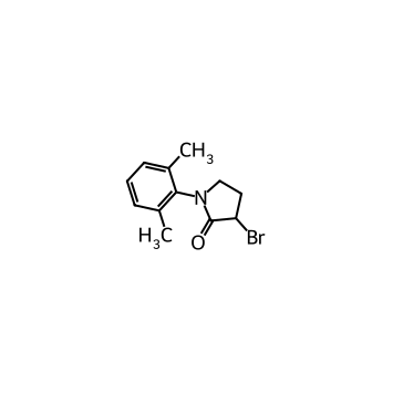 Cc1cccc(C)c1N1CCC(Br)C1=O